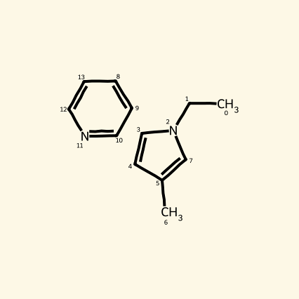 CCn1ccc(C)c1.c1ccncc1